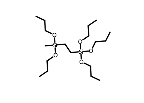 CCCO[Si](C)(CC[Si](OCCC)(OCCC)OCCC)OCCC